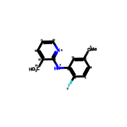 COc1ccc(F)c(Nc2ncccc2C(=O)O)c1